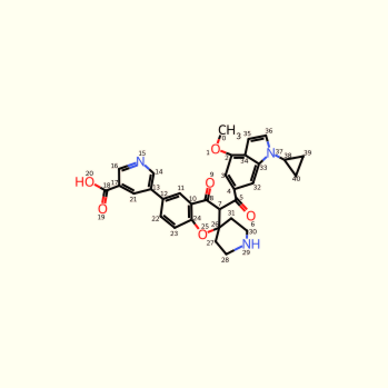 COc1cc(C(=O)C2C(=O)c3cc(-c4cncc(C(=O)O)c4)ccc3OC23CCNCC3)cc2c1ccn2C1CC1